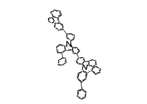 c1ccc(-c2ccc(-n3c4ccccc4c4cc(-c5ccc6c(c5)c5c(-c7ccccc7)cccc5n6-c5cccc(-c6ccc7oc8ccccc8c7c6)c5)ccc43)c(-c3ccccc3)c2)cc1